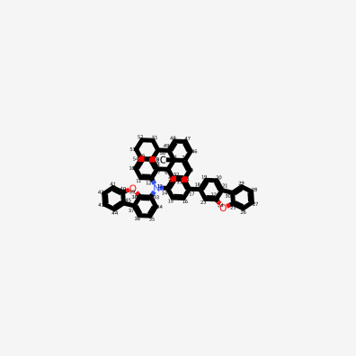 CC12C(=CC=CC1c1ccccc1N(c1ccc(-c3ccc4c(c3)oc3ccccc34)cc1)c1cccc3c1oc1ccccc13)C=CC=C2C1CCCCC1